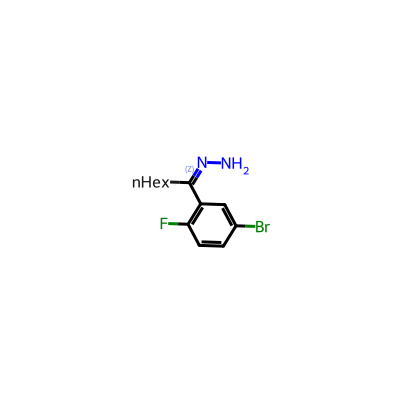 CCCCCC/C(=N/N)c1cc(Br)ccc1F